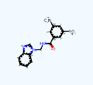 O=C(NCn1cnc2ccccc21)c1cc([N+](=O)[O-])cc([N+](=O)[O-])c1